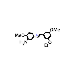 CCOc1cc(/C=C/c2ccc(OC)c(N)c2)cc(OC)c1